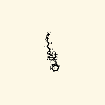 C1CN2CCC1CC2.O=S(=O)(OCCCN=C=S)C(F)(F)F